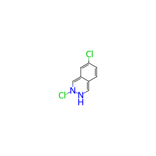 Clc1ccc2c(c1)=CN(Cl)NC=2